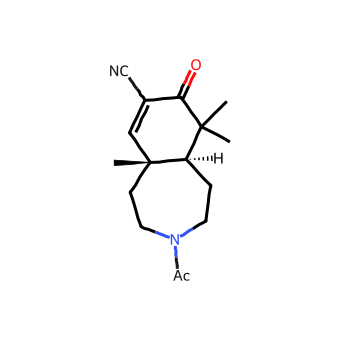 CC(=O)N1CC[C@@H]2C(C)(C)C(=O)C(C#N)=C[C@@]2(C)CC1